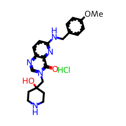 COc1ccc(CNc2ccc3ncn(CC4(O)CCNCC4)c(=O)c3n2)cc1.Cl